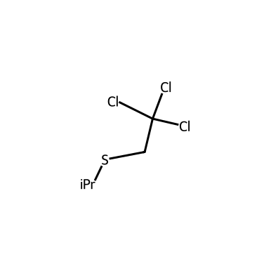 CC(C)SCC(Cl)(Cl)Cl